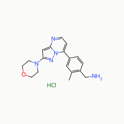 Cc1cc(-c2ccnc3cc(N4CCOCC4)nn23)ccc1CN.Cl